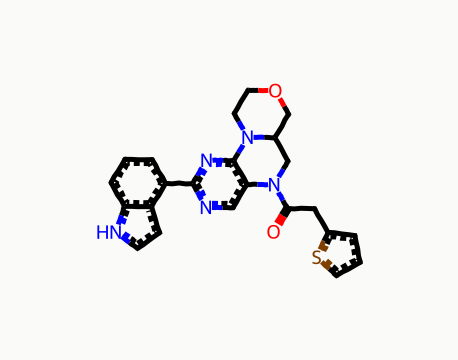 O=C(Cc1cccs1)N1CC2COCCN2c2nc(-c3cccc4[nH]ccc34)ncc21